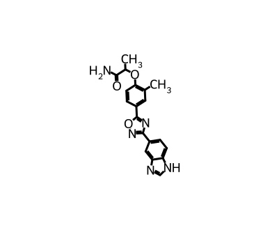 Cc1cc(-c2nc(-c3ccc4[nH]cnc4c3)no2)ccc1OC(C)C(N)=O